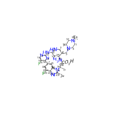 CCN1CCN(CC2CNC(Nc3ncc(F)c(-c4cc(F)c5nc(C)n(C(C)CC(=O)O)c5c4)n3)CC2N)CC1